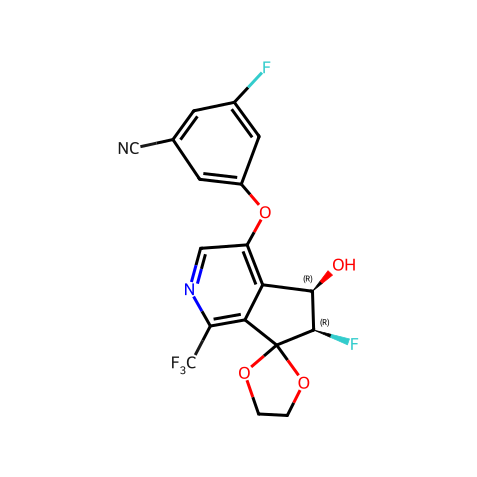 N#Cc1cc(F)cc(Oc2cnc(C(F)(F)F)c3c2[C@@H](O)[C@@H](F)C32OCCO2)c1